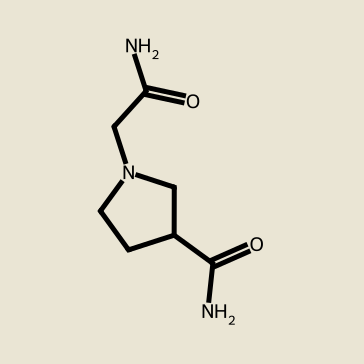 NC(=O)CN1CCC(C(N)=O)C1